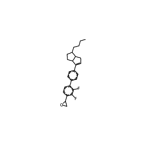 CCCCC1CCC2C(c3ccc(-c4ccc(C5CO5)c(F)c4F)cc3)=CCC12